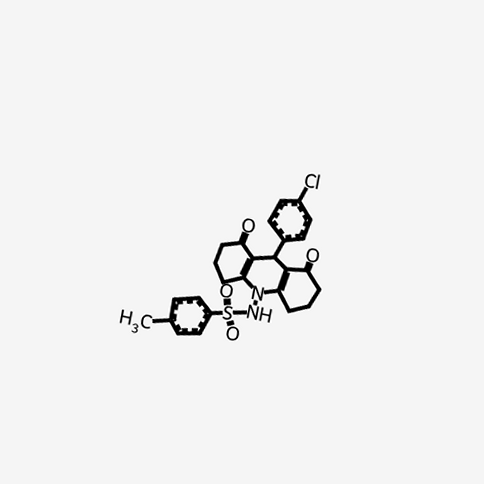 Cc1ccc(S(=O)(=O)NN2C3=C(C(=O)CCC3)C(c3ccc(Cl)cc3)C3=C2CCCC3=O)cc1